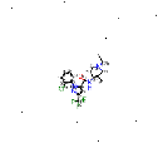 CC1=C(NC(=O)c2cc(C(F)(F)F)nn2-c2ccccc2Cl)CCN(C(C)C)C1